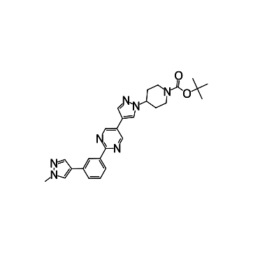 Cn1cc(-c2cccc(-c3ncc(-c4cnn(C5CCN(C(=O)OC(C)(C)C)CC5)c4)cn3)c2)cn1